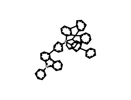 C1=CC2c3ccccc3C3(c4ccccc4-c4cccc(N(c5ccc(-c6ccccc6)cc5)c5ccc(-c6cccc7c6c6ccccc6n7-c6ccccc6)cc5)c43)C2CC1